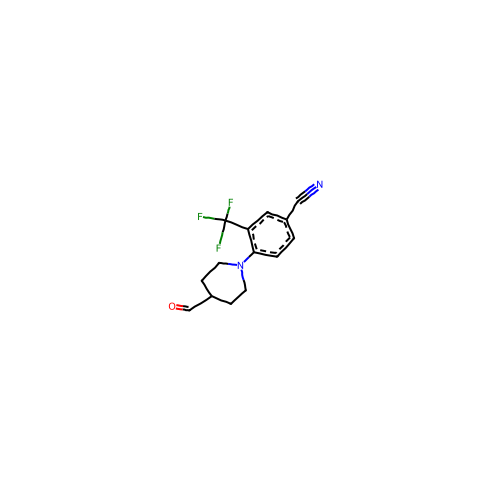 N#Cc1ccc(N2CCC(C=O)CC2)c(C(F)(F)F)c1